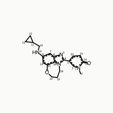 Cn1cc(-c2nc3cc(NCC4CC4)cc4c3n2CCCO4)ccc1=O